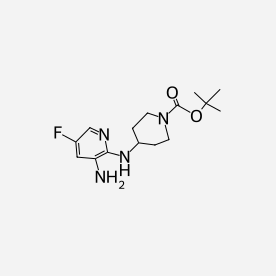 CC(C)(C)OC(=O)N1CCC(Nc2ncc(F)cc2N)CC1